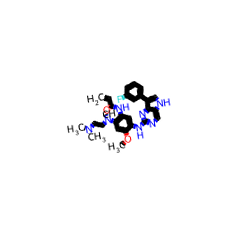 C=CC(=O)Nc1cc(Nc2ncc3[nH]cc(-c4cccc(F)c4)c3n2)c(OC)cc1N(C)CCN(C)C